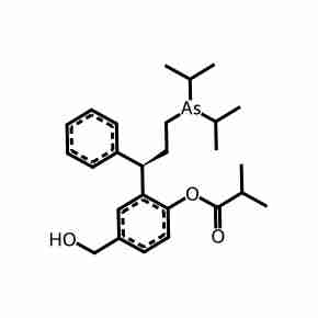 CC(C)C(=O)Oc1ccc(CO)cc1[C@H](CC[As](C(C)C)C(C)C)c1ccccc1